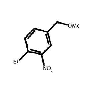 CCc1ccc(COC)cc1[N+](=O)[O-]